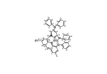 Cc1ccc2c(c1)N(c1ccccc1)c1c(c3ccc(N(c4ccccc4)c4ccccc4)cc3n1-c1ccccc1)B2c1c(C(C)C)cc(C(C)C)cc1C(C)C